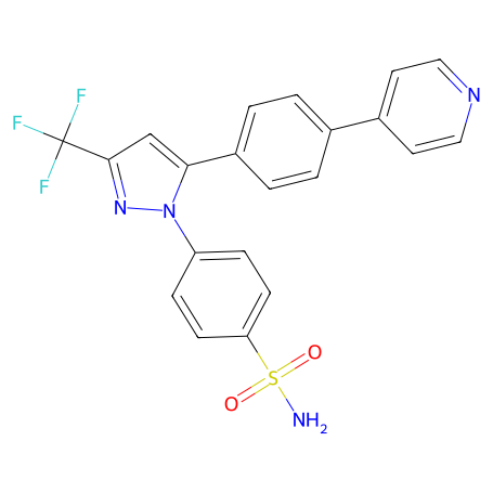 NS(=O)(=O)c1ccc(-n2nc(C(F)(F)F)cc2-c2ccc(-c3ccncc3)cc2)cc1